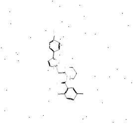 Cc1ccc(I)c(C(=O)N2CCCOC2Cn2ccc(-c3ccc(F)cc3)n2)c1